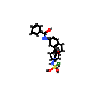 O=C(Nc1ccc2c(c1)C13CCCCC1(CC2)O/C(=N\S(=O)(=O)Cl)C3)c1ccccc1